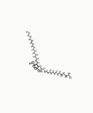 CCCCCCCCCCCCCCCCCC/C(C(=O)O)=C(\CCCCCCCCCCCCCCCCCC)C(=O)O